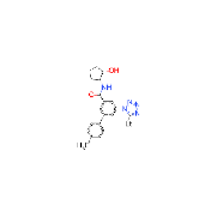 CCc1nnnn1-c1cc(C(=O)N[C@@H]2CCC[C@@H]2O)cc(-c2ccc(C)cc2)c1